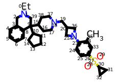 CCN1Cc2ccccc2C(C2CCCC2)(C2CCN(CC3CN(c4ccc(S(=O)(=O)C5CC5)cc4C)C3)CC2)C1